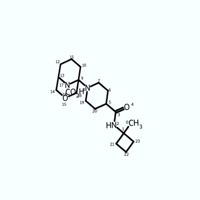 CC1(NC(=O)C2CCN(C34CCCC(COC3)N4C(=O)O)CC2)CCC1